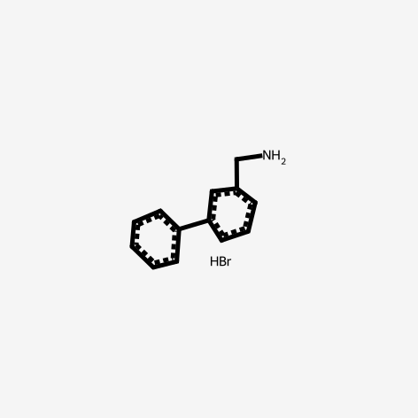 Br.NCc1cccc(-c2ccccc2)c1